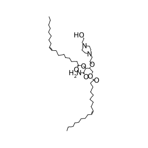 CCCCCCCC/C=C\CCCCCCCC(=O)OCC(OCCN1CCN(CCO)CC1)C(OC(=O)CCCCCCC/C=C\CCCCCCCC)C(N)=O